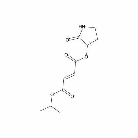 CC(C)OC(=O)/C=C/C(=O)OC1CCNC1=O